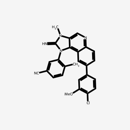 COc1cc(-c2ccc3ncc4c(c3c2)n(-c2cc(C#N)ccc2C)c(=N)n4C)ccc1Cl